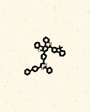 CC1(C)c2ccccc2-c2ccc(-c3nc4ccccc4c4c3cc(-c3ccc(-c5cc(-c6ccc(-c7ccccc7)cc6)nc(-c6ccccc6)n5)cc3)c3oc5ccccc5c34)cc21